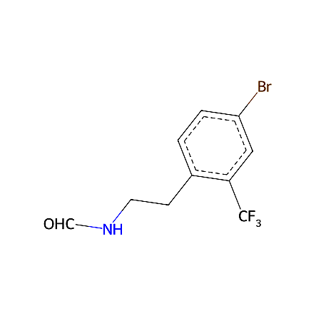 O=CNCCc1ccc(Br)cc1C(F)(F)F